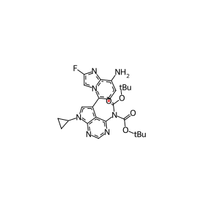 CC(C)(C)OC(=O)N(C(=O)OC(C)(C)C)c1ncnc2c1c(-c1ccc(N)c3nc(F)cn13)cn2C1CC1